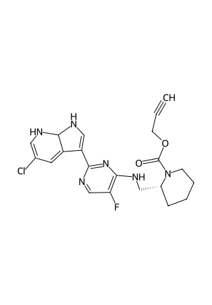 C#CCOC(=O)N1CCCC[C@@H]1CNc1nc(C2=CNC3NC=C(Cl)C=C23)ncc1F